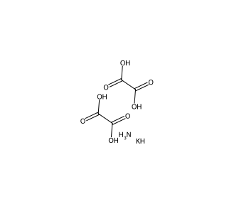 N.O=C(O)C(=O)O.O=C(O)C(=O)O.[KH]